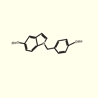 COc1ccc(Cn2[c]cc3cc(OC)ccc32)cc1